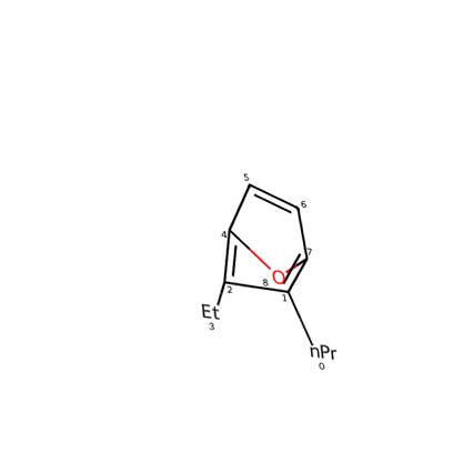 CCCc1c(CC)c2ccc1o2